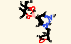 CC1(C)OB(c2cnn(CC3COC3)c2)OC1(C)C